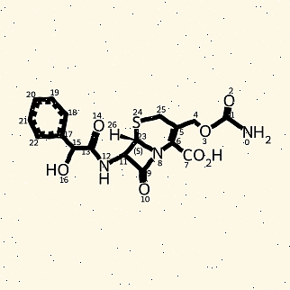 NC(=O)OCC1=C(C(=O)O)N2C(=O)C(NC(=O)C(O)c3ccccc3)[C@@H]2SC1